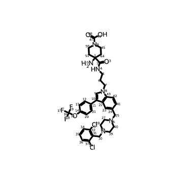 NC1(C(=O)NCCCn2cc(-c3ccc(OC(F)(F)F)cc3)c3cc(CN4CCN(Cc5c(Cl)cccc5Cl)CC4)ccc32)CCN(C(=O)O)CC1